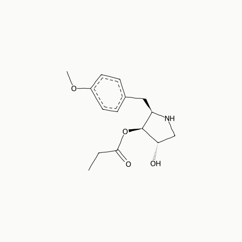 CCC(=O)O[C@@H]1[C@@H](O)CN[C@@H]1Cc1ccc(OC)cc1